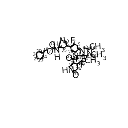 C[C@@H]1CN(c2cc(F)c(-c3cncc(NC(=O)OCc4ccccc4)c3)cc2NC(=O)c2c[nH]c(=O)cc2C(F)(F)F)C[C@H](C)N1C